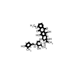 COc1cccc2c1C(=O)c1c(O)c3c(c(O)c1C2=O)C[C@@](O)(C(C)O)C[C@@H]3O[C@H]1C[C@@H](NCc2ccc(O)c(C)c2)[C@H](O)C(C)O1